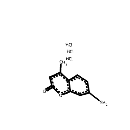 Cc1cc(=O)oc2cc(N)ccc12.Cl.Cl.Cl